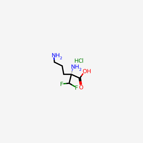 Cl.NCCC[C@@](N)(C(=O)O)C(F)F